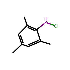 Cc1cc(C)c(PCl)c(C)c1